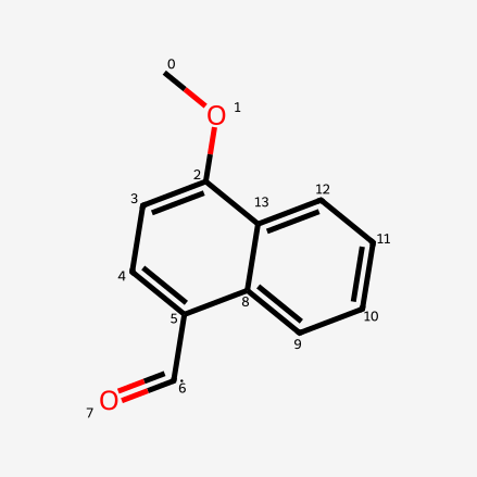 COc1ccc([C]=O)c2ccccc12